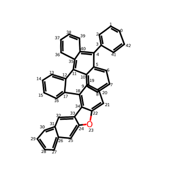 c1ccc(-c2c3ccccc3c(-c3ccccc3-c3cccc4oc5cc6ccccc6cc5c34)c3ccccc23)cc1